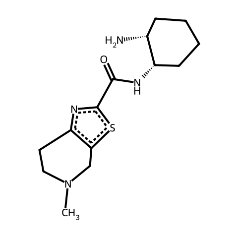 CN1CCc2nc(C(=O)N[C@H]3CCCC[C@H]3N)sc2C1